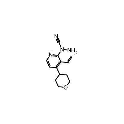 C=Cc1c(C2CCOCC2)ccnc1N(N)C#N